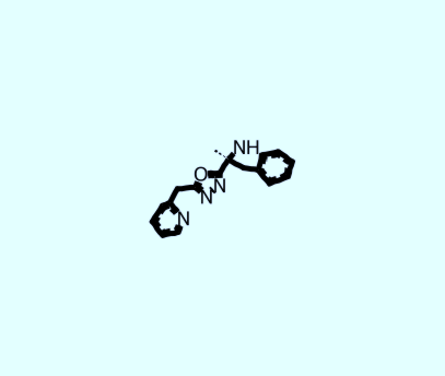 C[C@](N)(Cc1ccccc1)c1nnc(Cc2ccccn2)o1